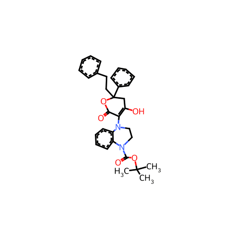 CC(C)(C)OC(=O)N1CCN(C2=C(O)CC(CCc3ccccc3)(c3ccccc3)OC2=O)c2ccccc21